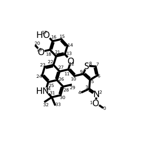 CO/N=C(\C)c1ccsc1/C=C1\Oc2ccc(O)c(OC)c2-c2ccc3c(c21)C(C)=CC(C)(C)N3